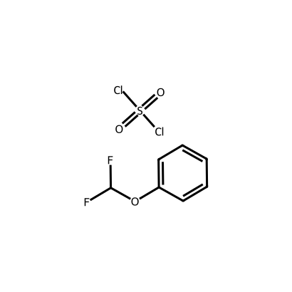 FC(F)Oc1ccccc1.O=S(=O)(Cl)Cl